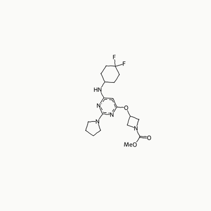 COC(=O)N1CC(Oc2cc(NC3CCC(F)(F)CC3)nc(N3CCCC3)n2)C1